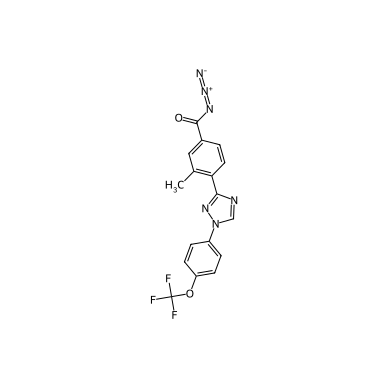 Cc1cc(C(=O)N=[N+]=[N-])ccc1-c1ncn(-c2ccc(OC(F)(F)F)cc2)n1